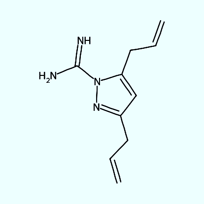 C=CCc1cc(CC=C)n(C(=N)N)n1